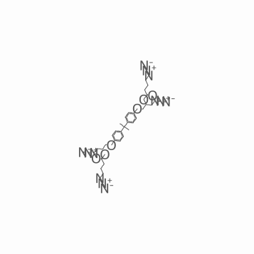 CC(C)(c1ccc(OCC(CN=[N+]=[N-])OC(=O)CCCN=[N+]=[N-])cc1)c1ccc(OCC(CN=[N+]=[N-])OC(=O)CCCN=[N+]=[N-])cc1